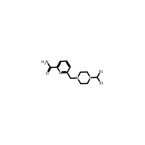 CCC(CC)N1CCN(Cc2cccc(C(N)=O)n2)CC1